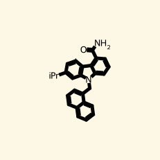 CC(C)c1c[c]c2c3c(C(N)=O)cccc3n(Cc3cccc4ccccc34)c2c1